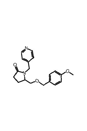 COc1ccc(COCC2CCC(=O)N2Cc2ccncc2)cc1